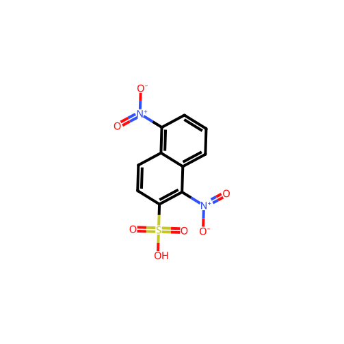 O=[N+]([O-])c1cccc2c([N+](=O)[O-])c(S(=O)(=O)O)ccc12